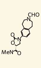 CNC(=O)[C@H]1CN(c2ccc3c(c2)CCN(C=O)CC3)C(=O)O1